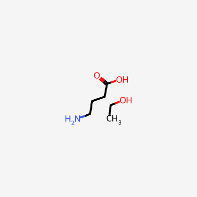 CCO.NCCCC(=O)O